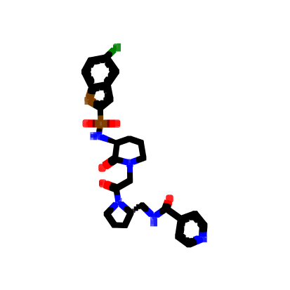 O=C(NC[C@@H]1CCCN1C(=O)CN1CCC[C@H](NS(=O)(=O)c2cc3cc(Cl)ccc3s2)C1=O)c1ccncc1